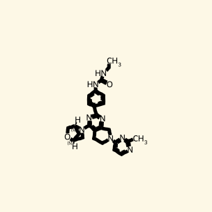 CCNC(=O)Nc1ccc(-c2nc3c(c(N4C[C@@H]5C[C@H]4CO5)n2)CCN(c2ccnc(C)n2)C3)cc1